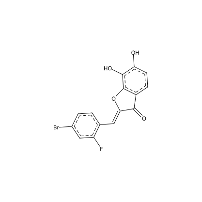 O=C1/C(=C/c2ccc(Br)cc2F)Oc2c1ccc(O)c2O